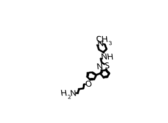 CN1CCC(NCc2nc3c(-c4cccc(OCCCCN)c4)cccc3s2)CC1